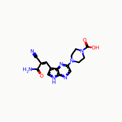 N#CC(=Cc1c[nH]c2ncc(N3CCN(C(=O)O)CC3)nc12)C(N)=O